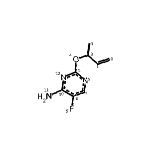 C=CC(C)Oc1ncc(F)c(N)n1